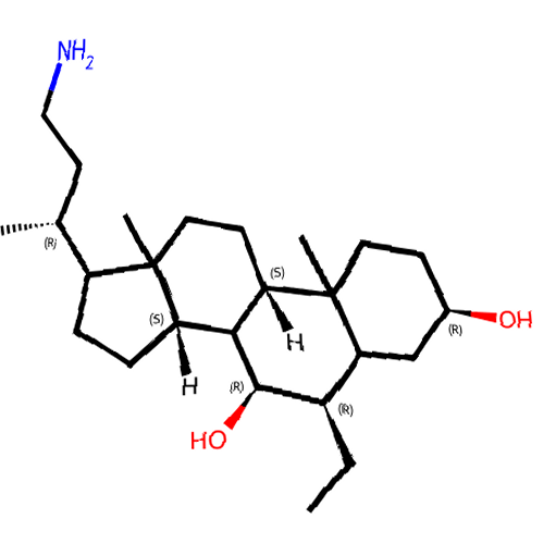 CC[C@@H]1C2C[C@H](O)CCC2(C)[C@H]2CCC3(C)C([C@H](C)CCN)CC[C@H]3C2[C@@H]1O